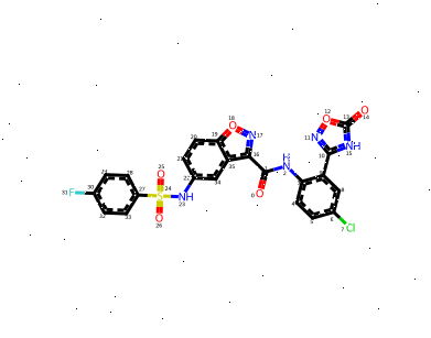 O=C(Nc1ccc(Cl)cc1-c1noc(=O)[nH]1)c1noc2ccc(NS(=O)(=O)c3ccc(F)cc3)cc12